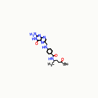 C[C@H](CCC(=O)C(C)(C)C)NC(=O)c1ccc(NCc2cnc3nc(N)[nH]c(=O)c3n2)cc1